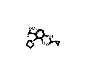 COC(=O)c1ccc(NC(=O)C2CC2)c(Cl)c1N1CCCC1